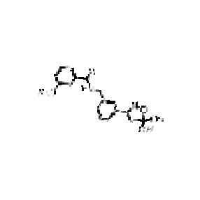 COc1cccc(C(=O)NCc2cccc(C3=NOC(O)(C(F)(F)F)C3)c2)c1